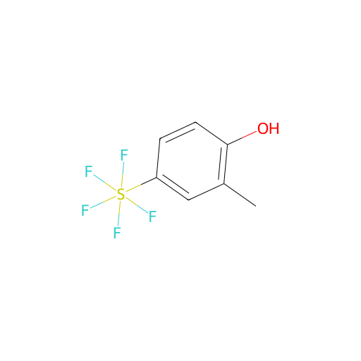 Cc1cc(S(F)(F)(F)(F)F)ccc1O